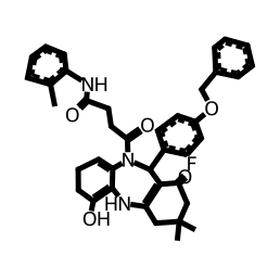 Cc1ccccc1NC(=O)CCC(=O)N1C2=CCCC(O)=C2NC2=C(C(=O)CC(C)(C)C2)C1c1ccc(OCc2ccccc2)cc1F